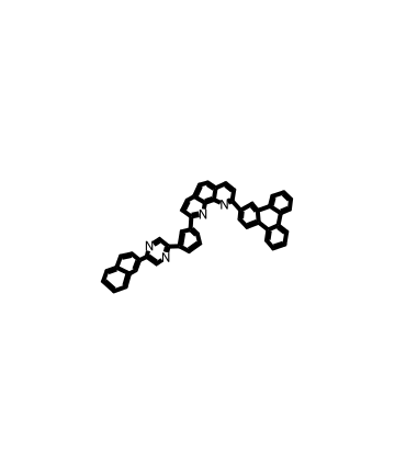 c1cc(-c2cnc(-c3ccc4ccccc4c3)cn2)cc(-c2ccc3ccc4ccc(-c5ccc6c7ccccc7c7ccccc7c6c5)nc4c3n2)c1